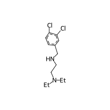 CCN(CC)CCNCc1ccc(Cl)c(Cl)c1